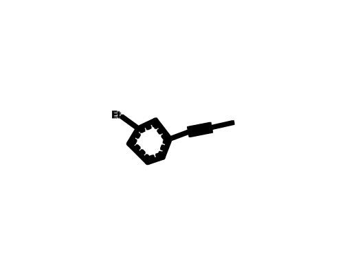 CC#Cc1cccc(CC)c1